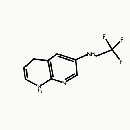 FC(F)(F)CNc1cnc2c(c1)CC=CN2